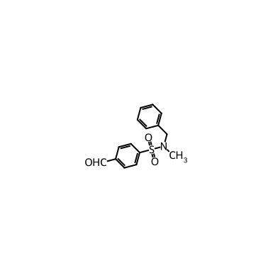 CN(Cc1ccccc1)S(=O)(=O)c1ccc(C=O)cc1